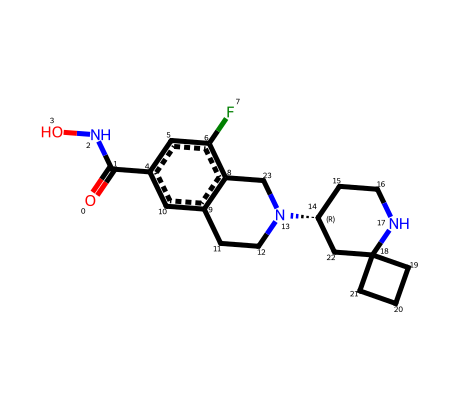 O=C(NO)c1cc(F)c2c(c1)CCN([C@@H]1CCNC3(CCC3)C1)C2